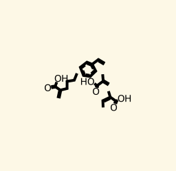 C=C(C)C(=O)O.C=C(CCCC)C(=O)O.C=Cc1ccccc1.CC=C(C)C(=O)O